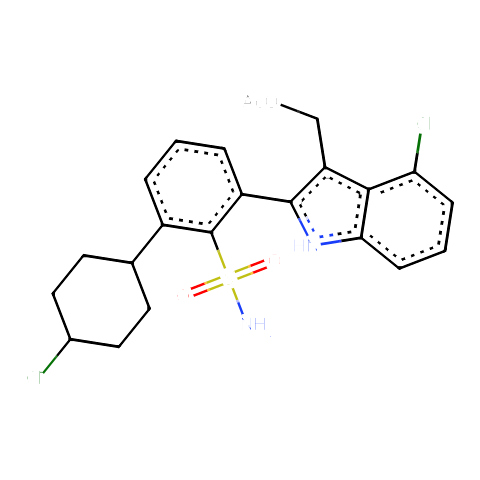 CC(=O)OCc1c(-c2cccc(C3CCC(Cl)CC3)c2S(N)(=O)=O)[nH]c2cccc(Cl)c12